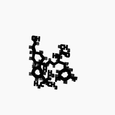 CC(=O)N[C@H](CCNC1(c2cccc(C(C)(C)C)c2)CCC(=CCO)CC1)Cc1cc(F)cc(F)c1